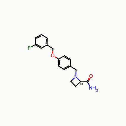 NC(=O)[C@H]1CCN1Cc1ccc(OCc2cccc(F)c2)cc1